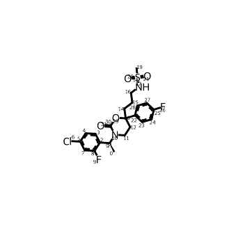 C[C@@H](c1ccc(Cl)cc1F)N1CCC(CCCNS(C)(=O)=O)(c2ccc(F)cc2)OC1=O